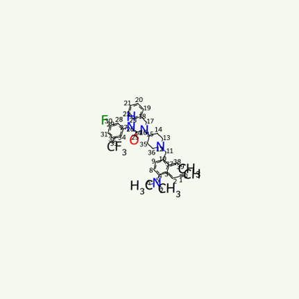 C#C/C=c1/c(N(C)C)ccc(CN2CCC(N(Cc3ccccc3)C(=O)Nc3cc(F)cc(C(F)(F)F)c3)CC2)/c1=C/C